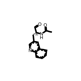 CC(=O)N[C@@H](C=O)Cc1cnc2ccccc2c1